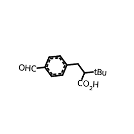 CC(C)(C)C(Cc1ccc(C=O)cc1)C(=O)O